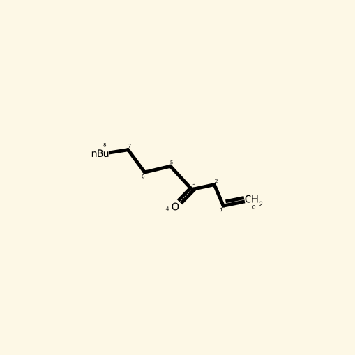 C=CCC(=O)CCCCCCC